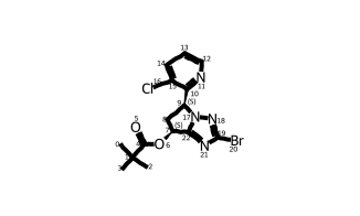 CC(C)(C)C(=O)O[C@H]1C[C@@H](c2ncccc2Cl)n2nc(Br)nc21